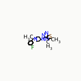 Cc1sc2ncnc(NC3CCN(C(C)c4cccc(F)c4)CC3)c2c1C